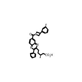 C[C@@H](CCc1nc2cc(C(=O)N3CC(c4cccc(F)c4)C3)ccc2nc1-c1ccccc1)CC(=O)O